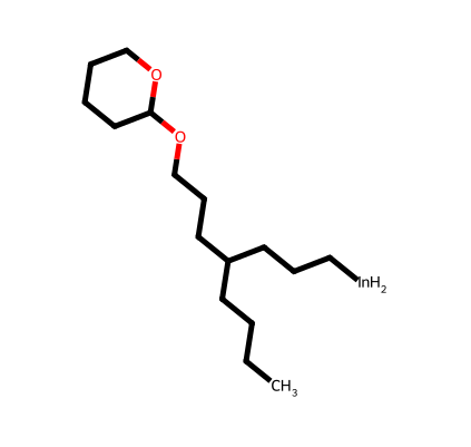 CCCCC(CC[CH2][InH2])CCCOC1CCCCO1